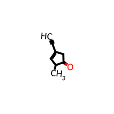 C#CC1=CC(C)C(=O)C1